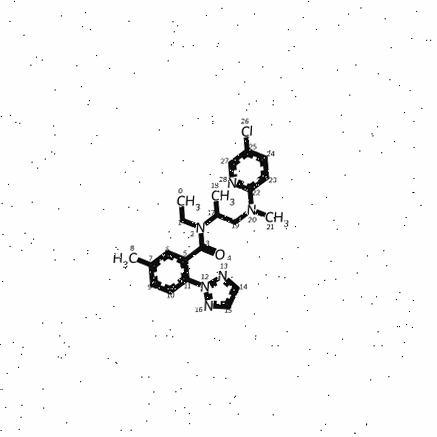 CCN(C(=O)c1cc(C)ccc1-n1nccn1)C(C)CN(C)c1ccc(Cl)cn1